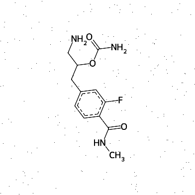 CNC(=O)c1ccc(CC(CN)OC(N)=O)cc1F